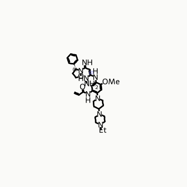 C=CC(=O)Nc1cc(N/C(=C/C(=N)N2OCC[C@@H]2c2ccccc2)NN)c(OC)cc1N1CCC(N2CCN(CC)CC2)CC1